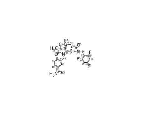 CC1(C)C(=O)N(Cc2cccc(C(N)=O)c2)c2cc(C(=O)NCc3c(F)cc(F)cc3F)cc(I)c21